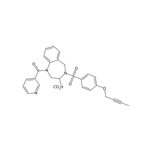 CC#CCOc1ccc(S(=O)(=O)N2Cc3ccccc3N(C(=O)c3cccnc3)CC2C(=O)O)cc1